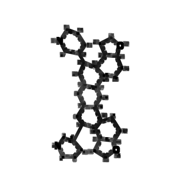 c1cncc(-c2cc3cc4cc(-c5cccnc5)c5c6ccoc6ccc5c4cc3c3ccc4occc4c23)c1